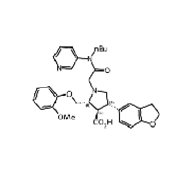 CCCCN(C(=O)CN1C[C@H](c2ccc3c(c2)CCO3)[C@@H](C(=O)O)[C@@H]1COc1ccccc1OC)c1cccnc1